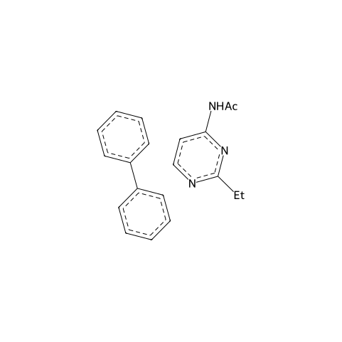 CCc1nccc(NC(C)=O)n1.c1ccc(-c2ccccc2)cc1